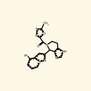 Cc1nnc(C(=O)N2CCc3[nH]cnc3C2c2cc3c(C(C)C)cccn3n2)o1